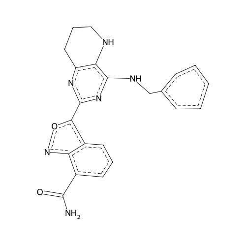 NC(=O)c1cccc2c(-c3nc4c(c(NCc5ccccc5)n3)NCCC4)onc12